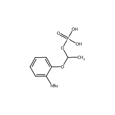 CCCCc1ccccc1OC(C)OP(=O)(O)O